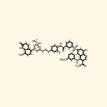 COc1cccc(Nc2c(C(N)=O)cnc3c(C)cc(S(=O)(=O)c4cccc(C(=O)Nc5ccc(CCCNC[C@H](O[Si](C)(C)C(C)(C)C)c6ccc(O)c7[nH]c(=O)ccc67)cc5C)c4)cc23)c1